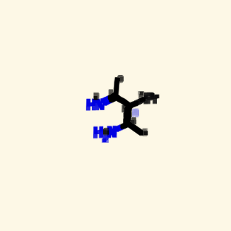 CC(=N)/C(=C(/C)N)C(C)C